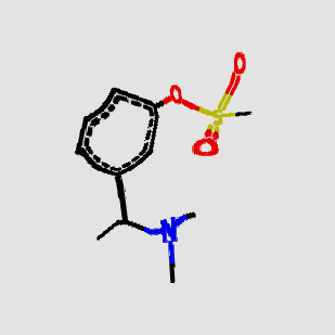 CC(c1cccc(OS(C)(=O)=O)c1)N(C)C